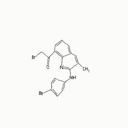 Cc1cc2cccc(C(=O)CBr)c2nc1Nc1ccc(Br)cc1